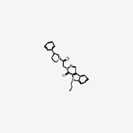 CCCn1c2ccccc2c2cnn(CC(=O)N3CCC(c4ccccc4)C3)c(=O)c21